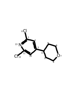 Clc1cc(C2CCOCC2)cc(Cl)n1